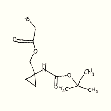 CC(C)(C)OC(=O)NC1(COC(=O)CS)CC1